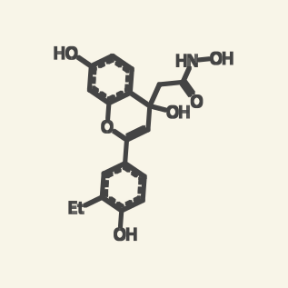 CCc1cc(C2=CC(O)(CC(=O)NO)c3ccc(O)cc3O2)ccc1O